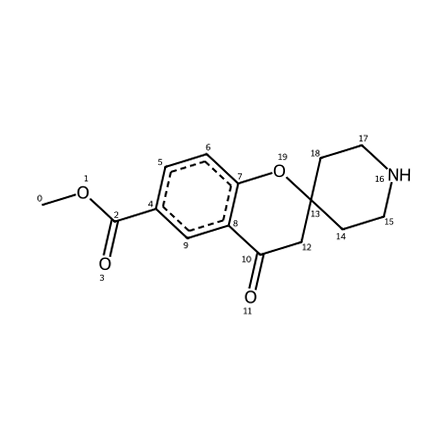 COC(=O)c1ccc2c(c1)C(=O)CC1(CCNCC1)O2